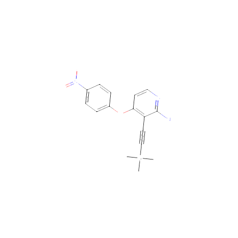 C[Si](C)(C)C#Cc1c(Oc2ccc([N+](=O)[O-])cc2)ccnc1N